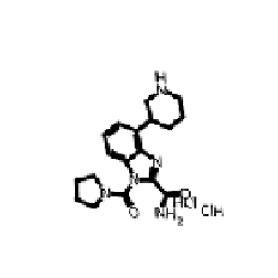 Cl.Cl.NC(=O)c1nc2c(C3CCCNC3)cccc2n1C(=O)N1CCCC1